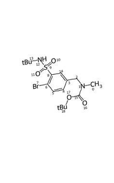 CN(Cc1ccc(Br)c(S(=O)(=O)NC(C)(C)C)c1)C(=O)OC(C)(C)C